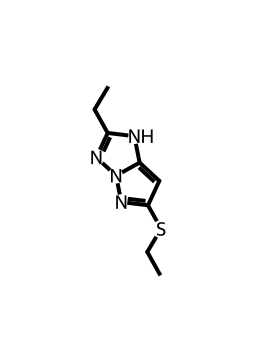 CCSc1cc2[nH]c(CC)nn2n1